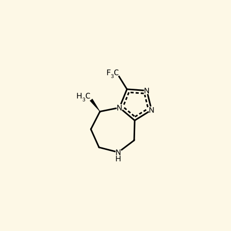 C[C@@H]1CCNCc2nnc(C(F)(F)F)n21